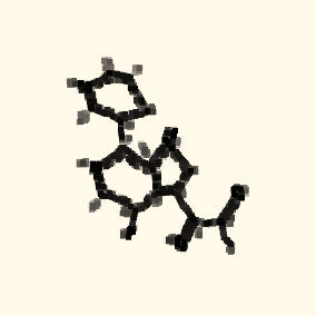 CC(=O)C(=O)c1c[nH]c2c(-c3cccnc3)ncc(F)c12